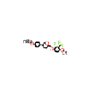 CCCCOc1ccc(C2CCC(COc3ccc(OCC)c(C(F)F)c3F)OC2)cc1